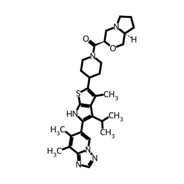 Cc1c(-c2[nH]c3sc(C4CCN(C(=O)[C@H]5CN6CCC[C@H]6CO5)CC4)c(C)c3c2C(C)C)cn2ncnc2c1C